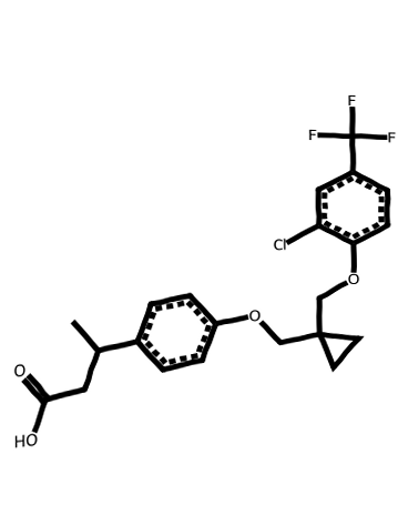 CC(CC(=O)O)c1ccc(OCC2(COc3ccc(C(F)(F)F)cc3Cl)CC2)cc1